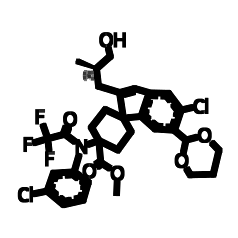 COC(=O)C1(N(C(=O)C(F)(F)F)c2cccc(Cl)c2)CCC2(CC1)C(C[C@@H](C)CO)=Cc1cc(Cl)c(C3OCCCO3)cc12